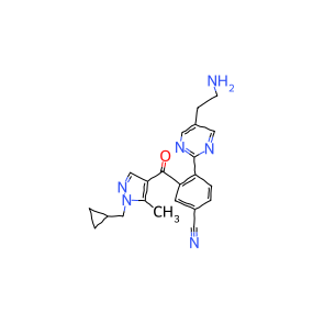 Cc1c(C(=O)c2cc(C#N)ccc2-c2ncc(CCN)cn2)cnn1CC1CC1